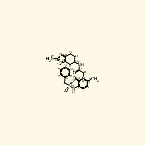 Cc1ccc(NS(=O)(=O)Cc2ccccc2)c(=O)n1CC(=O)NC1CCc2nc(N)sc2C1